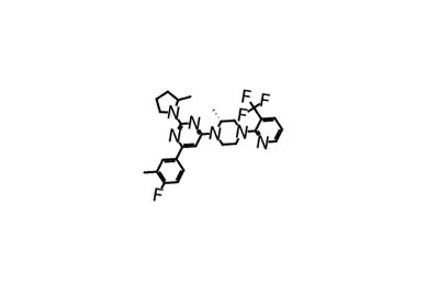 Cc1cc(-c2cc(N3CCN(c4ncccc4C(F)(F)F)C[C@H]3C)nc(N3CCCC3C)n2)ccc1F